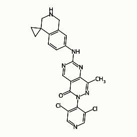 Cc1nn(-c2c(Cl)cncc2Cl)c(=O)c2cnc(Nc3ccc4c(c3)CNCC43CC3)nc12